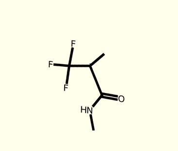 CNC(=O)[C](C)C(F)(F)F